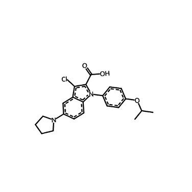 CC(C)Oc1ccc(-n2c(C(=O)O)c(Cl)c3cc(N4CCCC4)ccc32)cc1